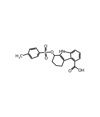 Cc1ccc(S(=O)(=O)OC2CCCc3c2[nH]c2cccc(C(=O)O)c32)cc1